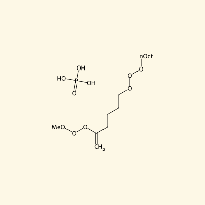 C=C(CCCCOOOCCCCCCCC)OOOC.O=P(O)(O)O